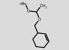 CCCCOC(C)OCC1C=CCCC1